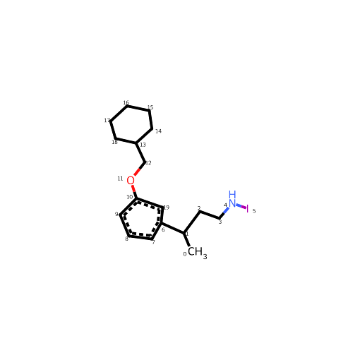 CC(CCNI)c1cccc(OCC2CCCCC2)c1